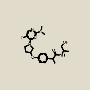 CC(CO)NC(=O)C(C)c1ccc(OC2CCN(c3nc(N(C)C)ncc3F)C2)cc1